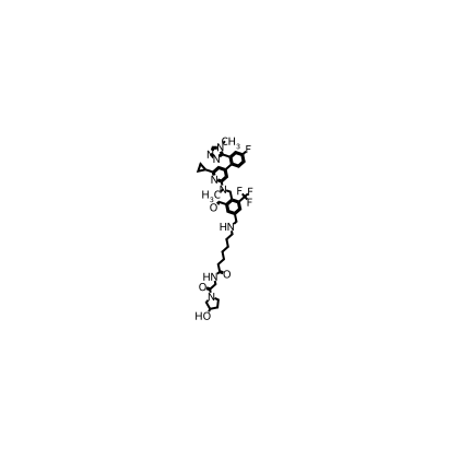 CN(Cc1c(C=O)cc(CNCCCCCCC(=O)NCC(=O)N2CCC(O)C2)cc1C(F)(F)F)c1cc(-c2ccc(F)cc2-c2nncn2C)cc(C2CC2)n1